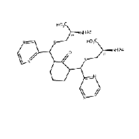 CC(=O)N[C@@H](CSC(c1cnccn1)C1CCCC(C(SC[C@H](NC(C)=O)C(=O)O)c2cnccn2)C1=O)C(=O)O